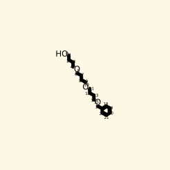 OCCCCOCCCCOCCCCOCc1ccccc1